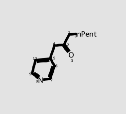 CCCCCCC(=O)Cc1ccncc1